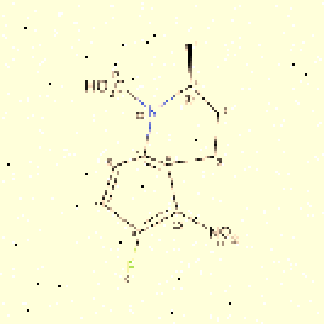 C[C@H]1CCc2c(ccc(F)c2[N+](=O)[O-])N1C(=O)O